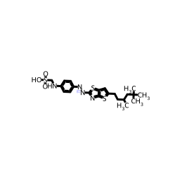 CC(CCc1cc2sc(/N=N/c3ccc(NCS(=O)(=O)O)cc3)nc2s1)CC(C)(C)C